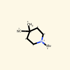 CC1(C#N)CCN(C(C)(C)C)CC1